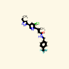 CCC1=NN=C(c2cnc(/C(C)=C/C(=O)NCc3ccc(C(F)(F)F)cc3)c(Cl)c2)C1